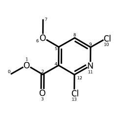 COC(=O)c1c(OC)cc(Cl)nc1Cl